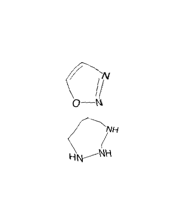 C1CNNN1.c1conn1